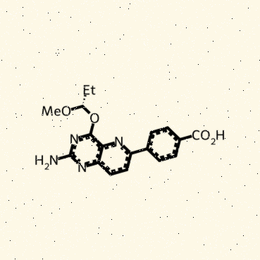 CC[C@@H](OC)Oc1nc(N)nc2ccc(-c3ccc(C(=O)O)cc3)nc12